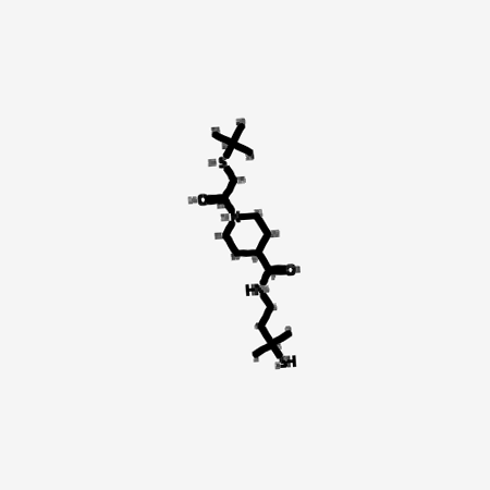 CC(C)(S)CCNC(=O)C1CCN(C(=O)CSC(C)(C)C)CC1